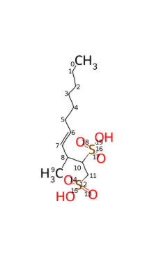 CCCCCC/C=C/C(C)C(CS(=O)(=O)O)S(=O)(=O)O